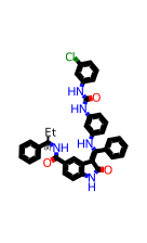 CC[C@@H](NC(=O)c1ccc2c(c1)C(=C(Nc1cccc(NC(=O)Nc3cccc(Cl)c3)c1)c1ccccc1)C(=O)N2)c1ccccc1